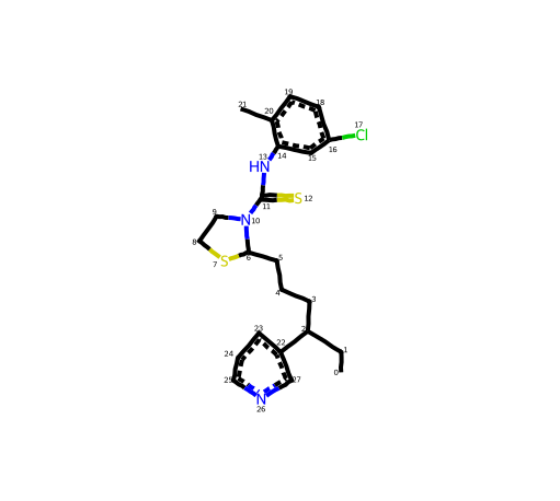 CCC(CCCC1SCCN1C(=S)Nc1cc(Cl)ccc1C)c1cccnc1